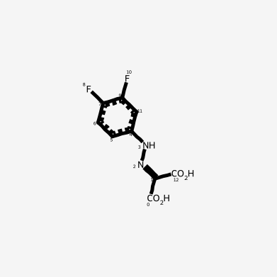 O=C(O)C(=NNc1ccc(F)c(F)c1)C(=O)O